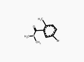 Cc1ccc(Br)cc1C(=O)N(C)C